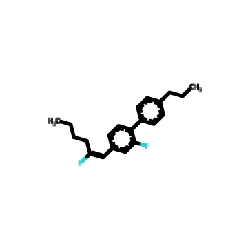 CCCC/C(F)=C\c1ccc(-c2ccc(CCC)cc2)c(F)c1